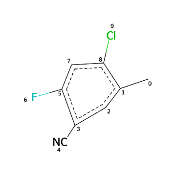 Cc1cc(C#N)c(F)cc1Cl